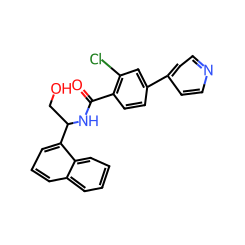 O=C(NC(CO)c1cccc2ccccc12)c1ccc(-c2ccncc2)cc1Cl